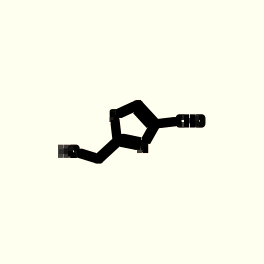 O=Cc1csc(CO)n1